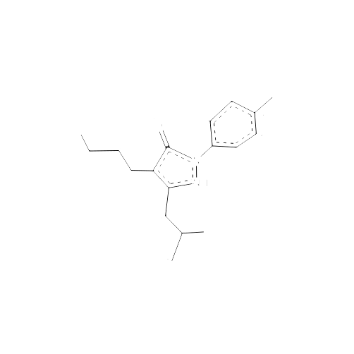 CCCCc1c(CC(C)C)[nH]n(-c2ccc(C)cc2)c1=O